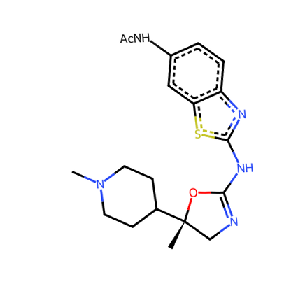 CC(=O)Nc1ccc2nc(NC3=NC[C@](C)(C4CCN(C)CC4)O3)sc2c1